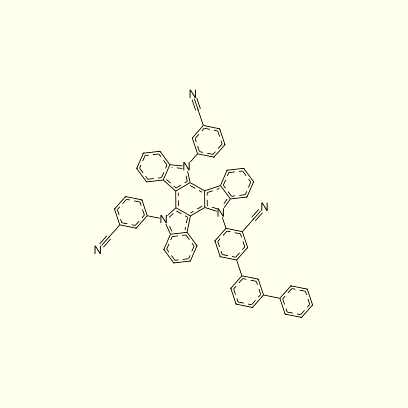 N#Cc1cccc(-n2c3ccccc3c3c2c2c4ccccc4n(-c4ccc(-c5cccc(-c6ccccc6)c5)cc4C#N)c2c2c4ccccc4n(-c4cccc(C#N)c4)c32)c1